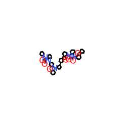 O=c1c(=O)n(-c2ccc3c(c2)Oc2ccccc2N3c2cccc(-c3ccc4c(c3)oc3c(-n5c(=O)c(=O)n(-c6cccc7c6oc6ccccc67)c6ccccc65)cccc34)c2)c2ccccc2n1-c1ccccc1